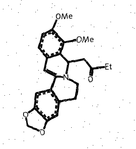 CCC(=O)CC1c2c(ccc(OC)c2OC)C=C2c3cc4c(cc3CCN21)OCO4